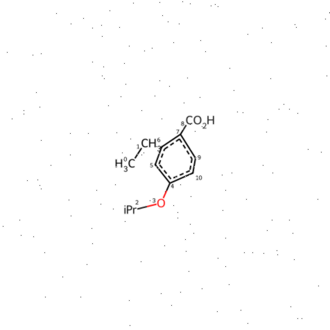 CC.CC(C)Oc1ccc(C(=O)O)cc1